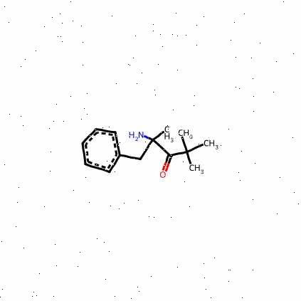 CC(C)(C)C(=O)C(C)(N)Cc1ccccc1